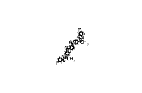 CN(c1nc2ccc(F)cc2s1)C1CCN(C(=O)c2cccc(C(=O)N3CCC(N(C)c4nc5ccc(F)cc5s4)CC3)c2)CC1